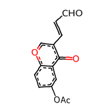 CC(=O)Oc1ccc2occ(/C=C/C=O)c(=O)c2c1